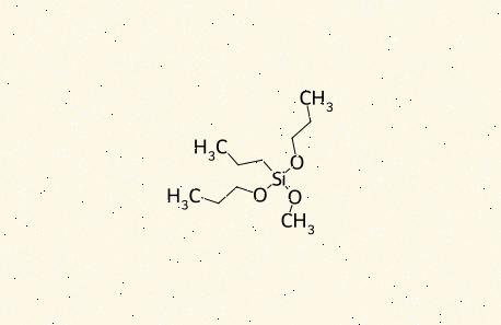 CCCO[Si](CCC)(OC)OCCC